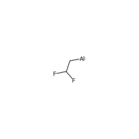 FC(F)[CH2][Al]